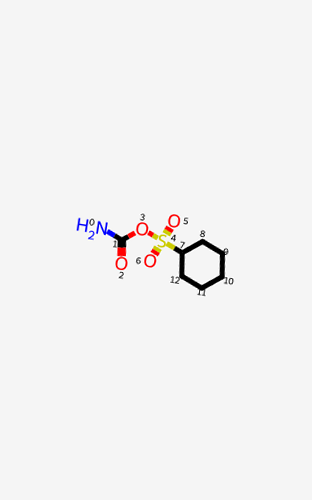 NC(=O)OS(=O)(=O)C1CCCCC1